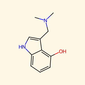 CN(C)Cc1c[nH]c2cccc(O)c12